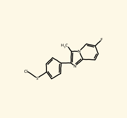 Cc1c(-c2ccc(SCl)cc2)nc2ccc(F)cn12